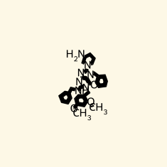 COc1ccc(Cn2c(NCc3ccccc3)nc3nc(N4CCCC(N)C4)n(Cc4ccccc4)c3c2=O)c(OC)c1